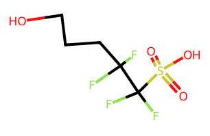 O=S(=O)(O)C(F)(F)C(F)(F)CCCO